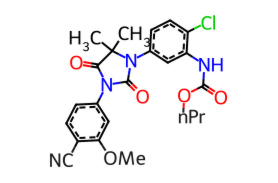 CCCOC(=O)Nc1cc(N2C(=O)N(c3ccc(C#N)c(OC)c3)C(=O)C2(C)C)ccc1Cl